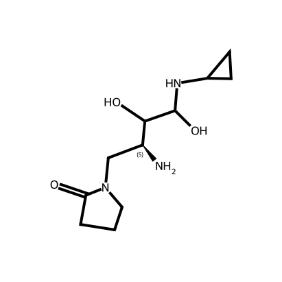 N[C@@H](CN1CCCC1=O)C(O)C(O)NC1CC1